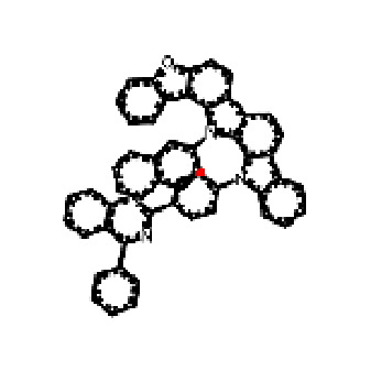 c1ccc(-c2nc(-c3ccc(-n4c5ccccc5c5ccc6c7ccc8oc9ccccc9c8c7n(-c7ccc8ccccc8c7)c6c54)cc3)nc3ccccc23)cc1